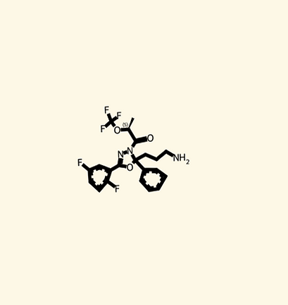 C[C@H](OC(F)(F)F)C(=O)N1N=C(c2cc(F)ccc2F)OC1(CCCN)c1ccccc1